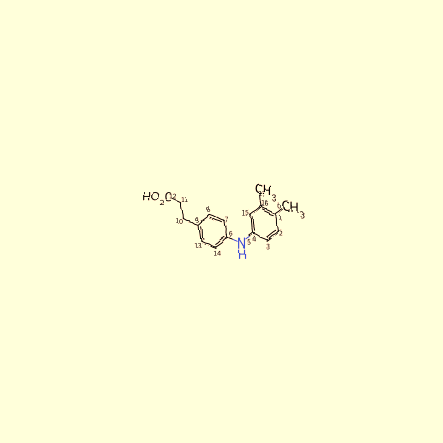 Cc1ccc(Nc2ccc(CCC(=O)O)cc2)cc1C